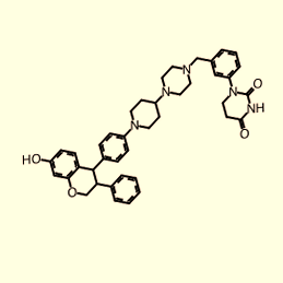 O=C1CCN(c2cccc(CN3CCN(C4CCN(c5ccc(C6c7ccc(O)cc7OCC6c6ccccc6)cc5)CC4)CC3)c2)C(=O)N1